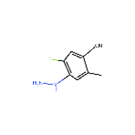 Cc1cc(NN)c(F)cc1C#N